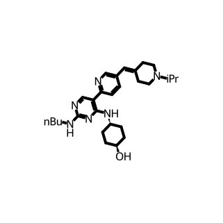 CCCCNc1ncc(-c2ccc(C=C3CCN(C(C)C)CC3)cn2)c(N[C@H]2CC[C@H](O)CC2)n1